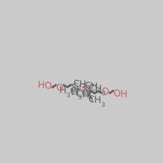 CCC(C)(CCCOCCO)[Si](C)(C)OC(C)[Si](C)(C)CCCOCCO